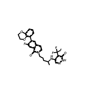 CC(CCCn1ccc2cc(-c3cccc4c3OCCO4)c(F)cc2c1=O)Nc1cn[nH]c(=O)c1C(F)(F)F